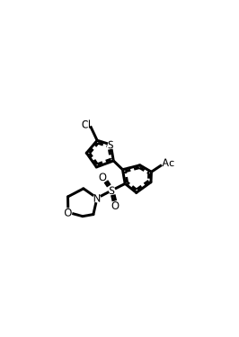 CC(=O)c1ccc(S(=O)(=O)N2CCOCC2)c(-c2ccc(Cl)s2)c1